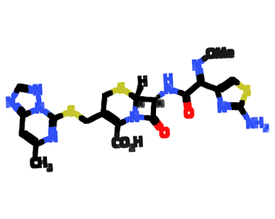 CON=C(C(=O)N[C@@H]1C(=O)N2C(C(=O)O)=C(CSc3nc(C)cc4ncnn34)CS[C@H]12)c1csc(N)n1